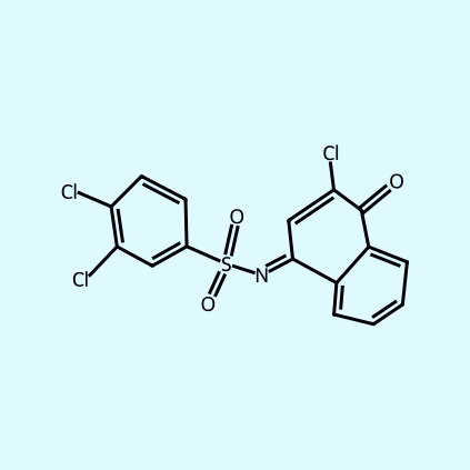 O=C1C(Cl)=C/C(=N\S(=O)(=O)c2ccc(Cl)c(Cl)c2)c2ccccc21